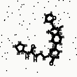 Cn1c(-c2ccco2)nc2cc(C3=NN(CCNC(=O)NC4CCCC4)C(=O)SC3)ccc21